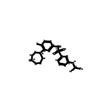 Cc1ccc(NS(=O)(=O)c2cccc(OC(F)F)c2)cc1N1CCCNCC1